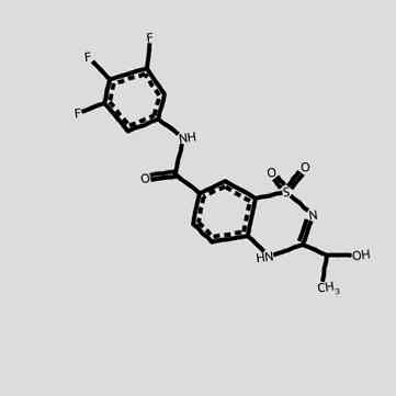 CC(O)C1=NS(=O)(=O)c2cc(C(=O)Nc3cc(F)c(F)c(F)c3)ccc2N1